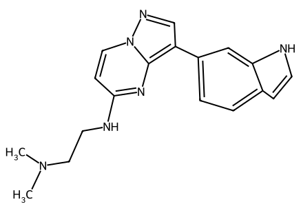 CN(C)CCNc1ccn2ncc(-c3ccc4cc[nH]c4c3)c2n1